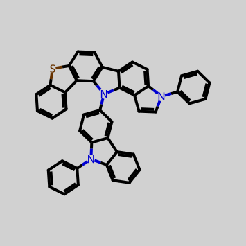 c1ccc(-n2ccc3c2ccc2c4ccc5sc6ccccc6c5c4n(-c4ccc5c(c4)c4ccccc4n5-c4ccccc4)c23)cc1